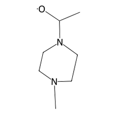 CC([O])N1CCN(C)CC1